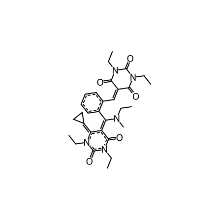 CCN1C(=O)C(=Cc2ccccc2/C(=c2/c(=O)n(CC)c(=O)n(CC)c2=C2CC2)N(C)CC)C(=O)N(CC)C1=O